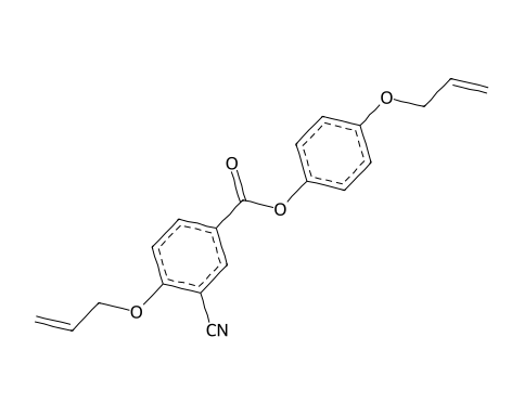 C=CCOc1ccc(OC(=O)c2ccc(OCC=C)c(C#N)c2)cc1